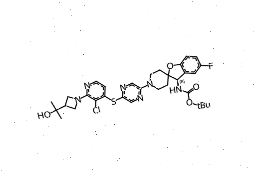 CC(C)(C)OC(=O)N[C@@H]1c2cc(F)ccc2OC12CCN(c1cnc(Sc3ccnc(N4CC(C(C)(C)O)C4)c3Cl)cn1)CC2